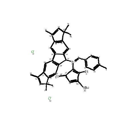 CCC1=[C](/[Zr+2](=[CH]\c2ccc(C)cc2)[CH]2c3cc4c(cc3-c3cc5c(cc32)C(C)(C)C=C5C)C(C)=CC4(C)C)C(CC)C=C1C(C)(C)C.[Cl-].[Cl-]